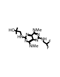 CNc1nc(NCC(C)(C)O)nc2c(NC)nc(NCC(F)F)nc12